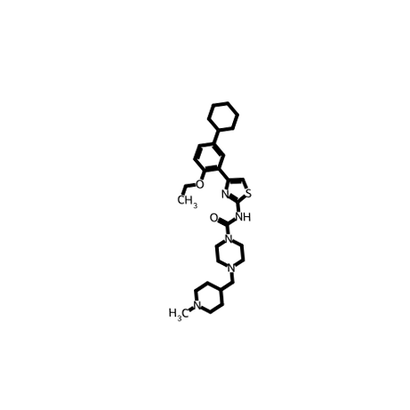 CCOc1ccc(C2CCCCC2)cc1-c1csc(NC(=O)N2CCN(CC3CCN(C)CC3)CC2)n1